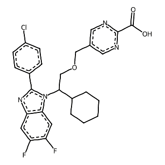 O=C(O)c1ncc(COCC(C2CCCCC2)n2c(-c3ccc(Cl)cc3)nc3cc(F)c(F)cc32)cn1